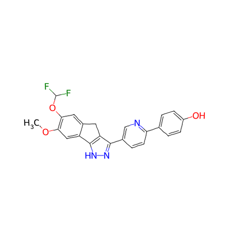 COc1cc2c(cc1OC(F)F)Cc1c(-c3ccc(-c4ccc(O)cc4)nc3)n[nH]c1-2